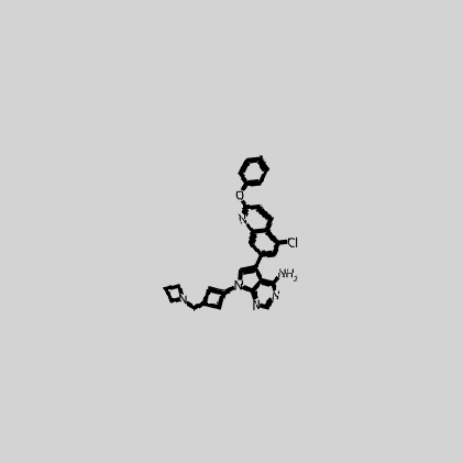 Nc1ncnc2c1c(-c1cc(Cl)c3ccc(Oc4ccccc4)nc3c1)cn2C1CC(CN2CCC2)C1